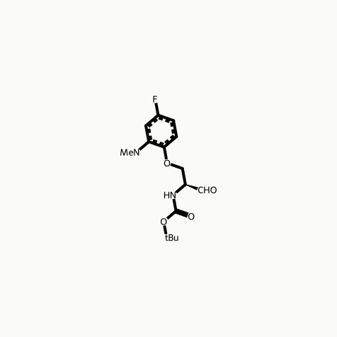 CNc1cc(F)ccc1OC[C@@H](C=O)NC(=O)OC(C)(C)C